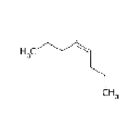 CCC/[C]=C\CCC